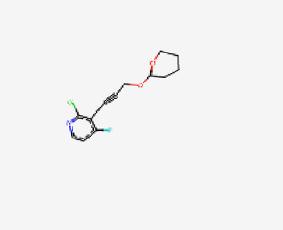 Fc1ccnc(Cl)c1C#CCOC1CCCCO1